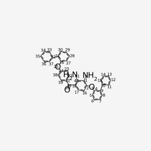 Nc1c(Oc2ccccc2-c2ccccc2)ccc(C(=O)c2ccc(Oc3ccccc3-c3ccccc3)cc2)c1N